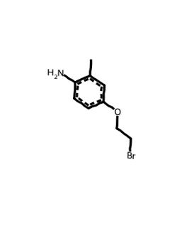 Cc1cc(OCCBr)ccc1N